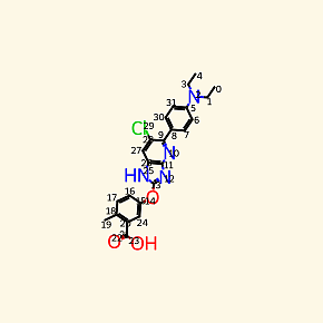 CCN(CC)c1ccc(-c2nc3nc(Oc4ccc(C)c(C(=O)O)c4)[nH]c3cc2Cl)cc1